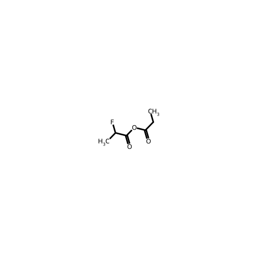 CCC(=O)OC(=O)C(C)F